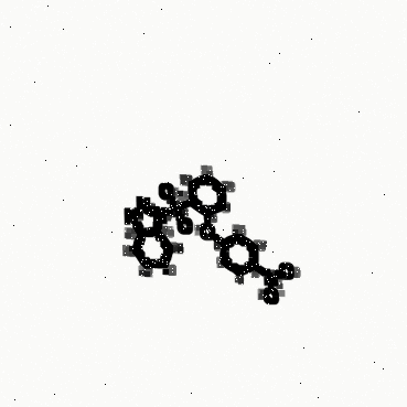 O=[N+]([O-])c1ccc(Oc2ccccc2S(=O)(=O)n2nnc3ccccc32)cc1